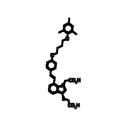 Cc1cc(C)c(OCCCCOc2ccc(C=Cc3cccc4c(SCC(=O)O)cn(CC(=O)O)c34)cc2)c(C)c1